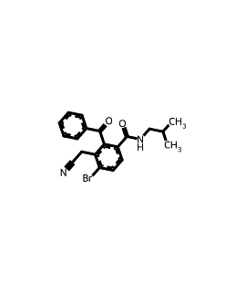 CC(C)CNC(=O)c1ccc(Br)c(CC#N)c1C(=O)c1ccccc1